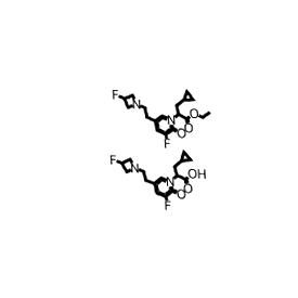 CCOC(=O)C(CC1CC1)n1cc(CCN2CC(F)C2)cc(F)c1=O.O=C(O)C(CC1CC1)n1cc(CCN2CC(F)C2)cc(F)c1=O